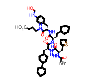 CCCC(=O)N[C@H](Cc1cccs1)C(=O)N[C@@H](Cc1ccc(-c2ccccc2)cc1)C(=O)N[C@H](CCc1ccccc1)C(=O)N[C@@H](Cc1ccc(NCO)cc1)C(=O)NCCCC(=O)O